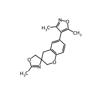 CC1=NC2(CO1)COc1ccc(-c3c(C)noc3C)cc1C2